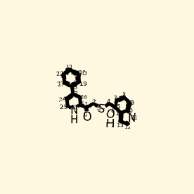 O=C(CSCC1(O)C=CC=C2N=CC=C21)C1CC(c2ccccc2)=CCN1